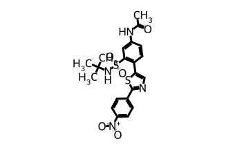 CC(=O)Nc1ccc(-c2cnc(-c3ccc([N+](=O)[O-])cc3)s2)c(S(=O)(=O)NC(C)(C)C)c1